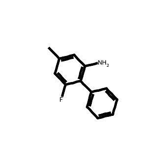 Cc1cc(N)c(-c2ccccc2)c(F)c1